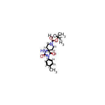 Cc1ccc(N2C(=O)NC3(CCN(C(=O)OC(C)(C)C)CC3)C2=O)cc1